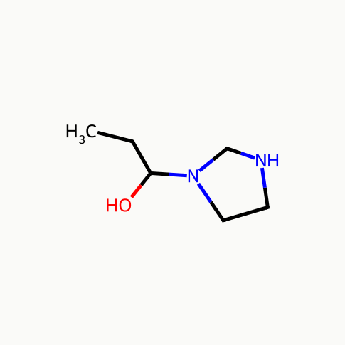 CCC(O)N1CCNC1